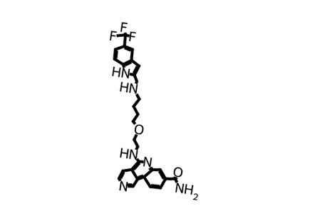 NC(=O)c1ccc2c(c1)nc(NCCOCCCCNCc1cc3cc(C(F)(F)F)ccc3[nH]1)c1ccncc12